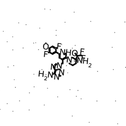 COc1cc(F)c(-c2cc(Cn3cnc4c(N)ncnc43)c(N3CCC[C@](N)(C(O)C(F)F)C3)cn2)cc1F